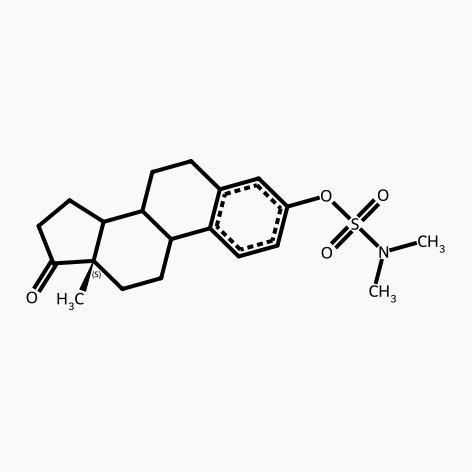 CN(C)S(=O)(=O)Oc1ccc2c(c1)CCC1C2CC[C@]2(C)C(=O)CCC12